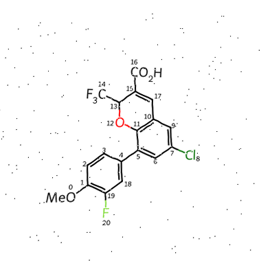 COc1ccc(-c2cc(Cl)cc3c2OC(C(F)(F)F)C(C(=O)O)=C3)cc1F